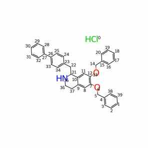 Cl.c1ccc(COc2cc3c(cc2OCc2ccccc2)C(Cc2ccc(-c4ccccc4)cc2)NCC3)cc1